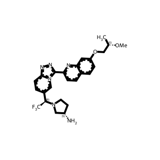 CO[C@@H](C)COc1ccc2ccc(-c3nnc4ccc([C@@H](N5CC[C@H](N)C5)C(F)(F)F)cn34)nc2c1